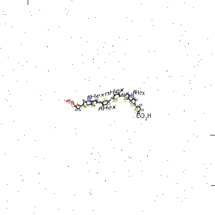 CCCCCCc1cc(-c2cc(CCCCCC)c(-c3cc4c(s3)c3sc(-c5ccc(C(=O)O)s5)cc3n4CCCCCC)s2)sc1-c1cc2c(s1)c1sc(-c3ccc(OCO)s3)cc1n2CCCCCC